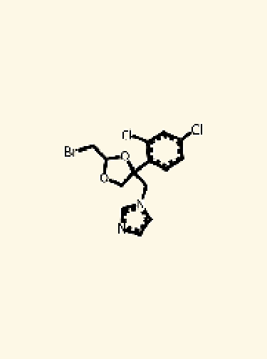 Clc1ccc(C2(Cn3ccnc3)COC(CBr)O2)c(Cl)c1